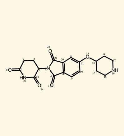 O=C1CCC(N2C(=O)c3ccc(OC4CCNCC4)cc3C2=O)C(=O)N1